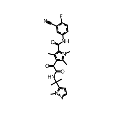 Cc1c(C(=O)C(=O)NC(C)(C)c2ccnn2C)c(C)n(C)c1C(=O)Nc1ccc(F)c(C#N)c1